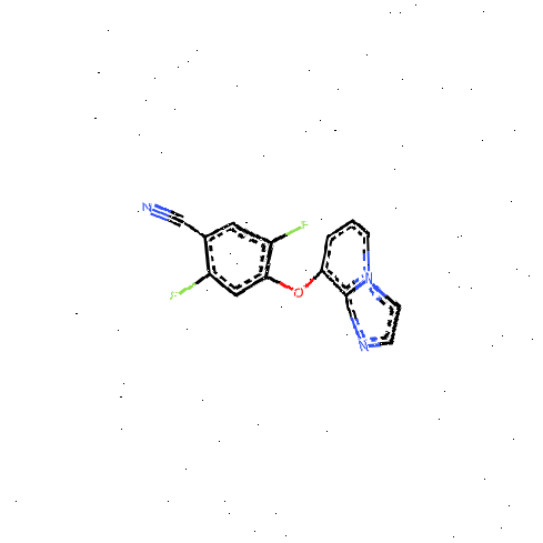 N#Cc1cc(F)c(Oc2cccn3ccnc23)cc1F